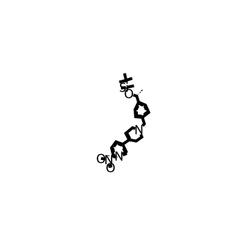 C[C@@H](O[Si](C)(C)C(C)(C)C)c1ccc(CN2CC=C(c3ccc([N+](=O)[O-])nc3)CC2)cc1